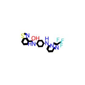 OC(N[C@H]1CC[C@@H](Nc2cccc3nc(C(F)(F)F)cn23)CC1)c1cccc2scnc12